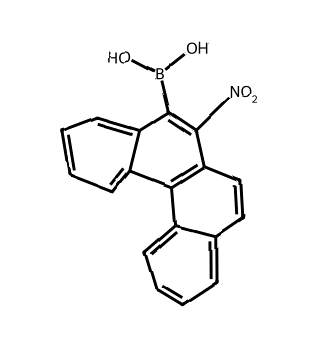 O=[N+]([O-])c1c(B(O)O)c2ccccc2c2c1ccc1ccccc12